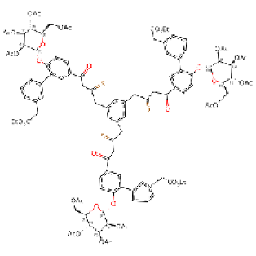 CCOC(=O)Cc1cccc(-c2cc(C(=O)CC(=S)Cc3cc(CC(=S)CC(=O)c4ccc(O[C@H]5O[C@H](COC(C)=O)[C@@H](OC(C)=O)[C@H](OC(C)=O)[C@@H]5OC(C)=O)c(-c5cccc(CC(=O)OCC)c5)c4)cc(CC(=S)CC(=O)c4ccc(O[C@H]5O[C@H](COC(C)=O)[C@@H](OC(C)=O)[C@H](OC(C)=O)[C@@H]5OC(C)=O)c(-c5cccc(CC(=O)OCC)c5)c4)c3)ccc2O[C@H]2O[C@H](COC(C)=O)[C@@H](OC(C)=O)[C@H](OC(C)=O)[C@@H]2OC(C)=O)c1